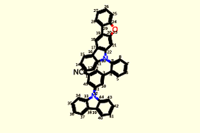 N#Cc1cc(-c2ccccc2-n2c3ccccc3c3cc4c(cc32)oc2ccccc24)cc(-n2c3ccccc3c3ccccc32)c1